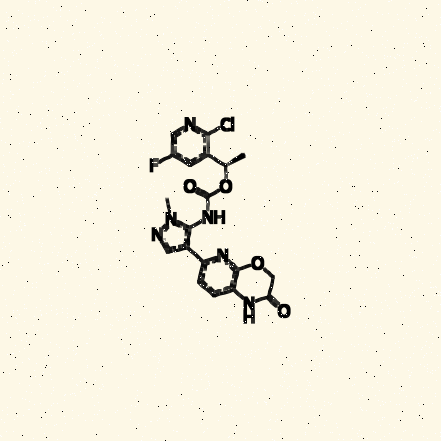 C[C@@H](OC(=O)Nc1c(-c2ccc3c(n2)OCC(=O)N3)cnn1C)c1cc(F)cnc1Cl